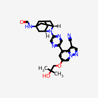 CC(C)(O)COc1cc(-c2cnc(N3[C@@H]4CC5C[C@H]3CC(NC=O)(C5)C4)cn2)c2c(C#N)cnn2c1